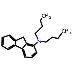 CCCCN(CCCC)c1cccc2c1Cc1ccccc1-2